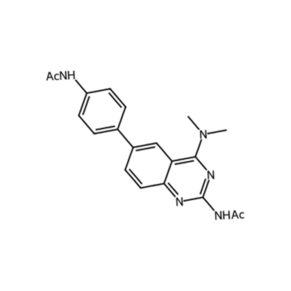 CC(=O)Nc1ccc(-c2ccc3nc(NC(C)=O)nc(N(C)C)c3c2)cc1